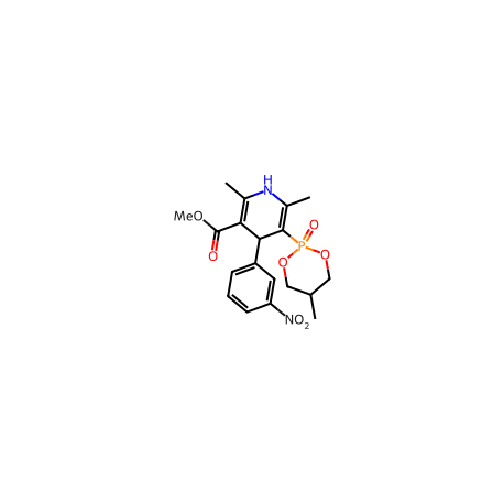 COC(=O)C1=C(C)NC(C)=C(P2(=O)OCC(C)CO2)C1c1cccc([N+](=O)[O-])c1